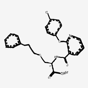 COC(=O)[C@@H](COCCc1ccccc1)NC(=O)c1cccnc1Oc1ccc(Cl)cc1